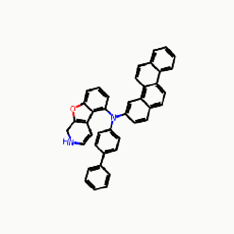 C1=Cc2c(oc3cccc(N(c4ccc(-c5ccccc5)cc4)c4ccc5ccc6c7ccccc7ccc6c5c4)c23)CN1